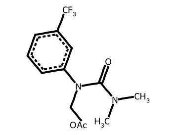 CC(=O)OCN(C(=O)N(C)C)c1cccc(C(F)(F)F)c1